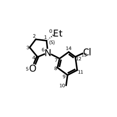 CC[C@H]1CCC(=O)N1c1cc(C)cc(Cl)c1